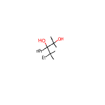 CCCC(O)(C(C)(C)O)C(C)(C)CC